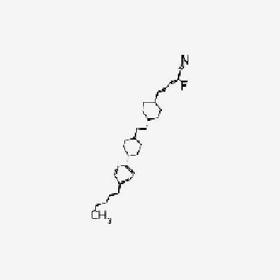 CCCCCc1ccc([C@H]2CC[C@H](C=C[C@H]3CC[C@H](C=CC=C(F)C#N)CC3)CC2)cc1